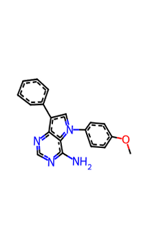 COc1ccc(-n2cc(-c3ccccc3)c3ncnc(N)c32)cc1